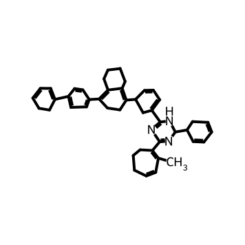 CC1=C(C2=NC(C3C=CC=CC3)NC(C3=CC=CC(C4=C5CCCCC5=C(c5ccc(C6=CC=CCC6)cc5)CC4)C3)=N2)CCCC=C1